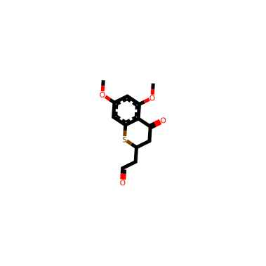 COc1cc(OC)c2c(c1)SC(CC=O)CC2=O